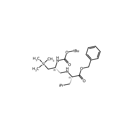 CC(C)C[C@H](NC[C@H](C[Si](C)(C)C)NC(=O)OC(C)(C)C)C(=O)OCc1ccccc1